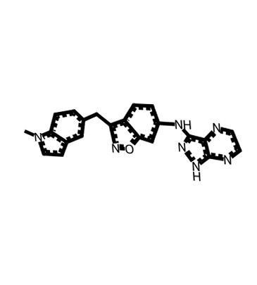 Cn1ccc2cc(Cc3noc4cc(Nc5n[nH]c6nccnc56)ccc34)ccc21